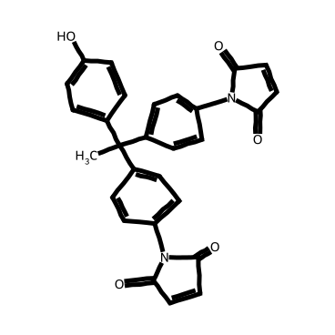 CC(c1ccc(O)cc1)(c1ccc(N2C(=O)C=CC2=O)cc1)c1ccc(N2C(=O)C=CC2=O)cc1